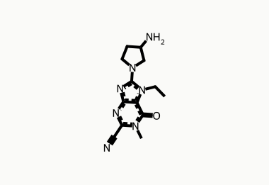 CCn1c(N2CCC(N)C2)nc2nc(C#N)n(C)c(=O)c21